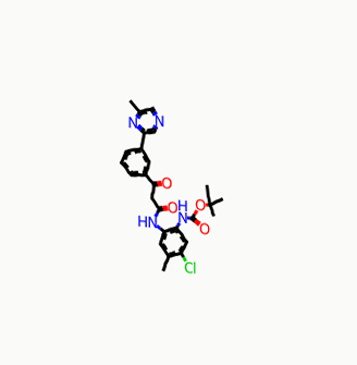 Cc1cncc(-c2cccc(C(=O)CC(=O)Nc3cc(C)c(Cl)cc3NC(=O)OC(C)(C)C)c2)n1